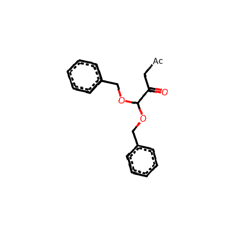 CC(=O)CC(=O)C(OCc1ccccc1)OCc1ccccc1